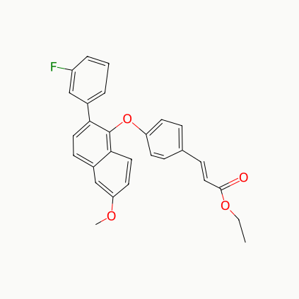 CCOC(=O)C=Cc1ccc(Oc2c(-c3cccc(F)c3)ccc3cc(OC)ccc23)cc1